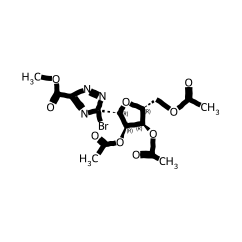 COC(=O)C1=NC(Br)([C@@H]2O[C@H](COC(C)=O)[C@@H](OC(C)=O)[C@H]2OC(C)=O)N=N1